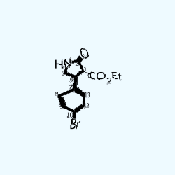 CCOC(=O)[C@H]1C(=O)NCC1c1ccc(Br)cc1